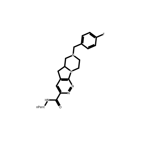 CCCCCNC(=O)c1cc2c(nn1)N1CCN(Cc3ccc(F)cc3)CC1C2